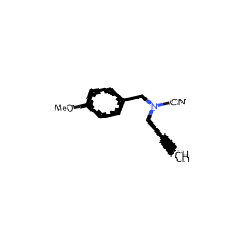 C#CCN(C#N)Cc1ccc(OC)cc1